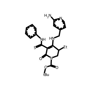 CCC1CN(C(=O)OC(C)(C)C)C(=O)C(C(=S)Nc2ccccc2)=C1NCc1ccnc(N)c1